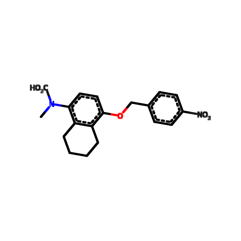 CN(C(=O)O)c1ccc(OCc2ccc([N+](=O)[O-])cc2)c2c1CCCC2